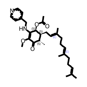 COC1=C(NCc2ccncc2)[C@@H](OC(C)=O)[C@@H](C/C=C(\C)CC/C=C(\C)CCC=C(C)C)[C@H](C)C1=O